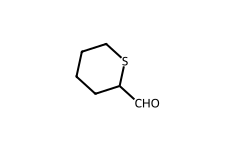 O=CC1CCCCS1